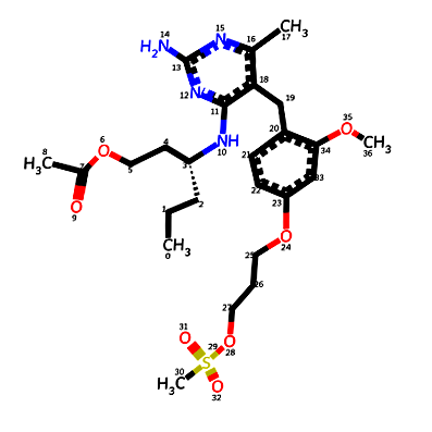 CCC[C@H](CCOC(C)=O)Nc1nc(N)nc(C)c1Cc1ccc(OCCCOS(C)(=O)=O)cc1OC